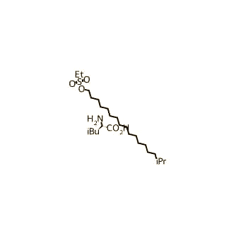 CCS(=O)(=O)OCCCCCCCCCCCCCCCC(C)C.CC[C@H](C)[C@H](N)C(=O)O